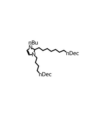 CCCCCCCCCCCCCCCCCC1N(CCCC)C=CN1CCCCCCCCCCCCCC